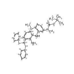 COc1ccc(N(C)C(=O)OC(C)(C)C)cc1Nc1ncnc(N(Cc2ccccc2)Cc2ccccc2)c1N